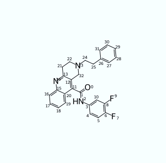 O=C(Nc1ccc(F)c(F)c1)c1c2c(nc3ccccc13)CCN(CCc1ccccc1)C2